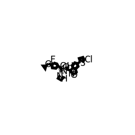 O=C(N[C@H](CN1CCC1)[C@H](O)c1ccc(OC2CC2)c(F)c1)C1=NOCc2cc(-c3ccc(Cl)s3)ccc21